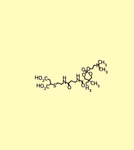 CN(C)CCOP1(=O)OCC(C)(C)[C@H](C(=O)NCCC(=O)NCCSC(CC(=O)O)C(=O)O)O1